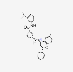 Cc1ccc2c(c1)/C(=C/NC1C=CC(C(=O)Nc3cccc(C(C)C)c3)=C1)CC(c1ccccc1)O2